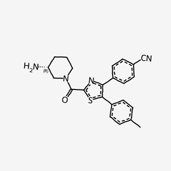 Cc1ccc(-c2sc(C(=O)N3CCC[C@@H](N)C3)nc2-c2ccc(C#N)cc2)cc1